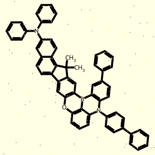 CC1(C)c2cc3c(cc2-c2ccc4cc(N(c5ccccc5)c5ccccc5)ccc4c21)Oc1cccc2c1B3c1cc(-c3ccccc3)ccc1N2c1ccc(-c2ccccc2)cc1